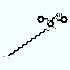 CCCCCCCCCCCCCCCCCCOc1cn(Cc2ccccc2)c(CN(C)Cc2ccccc2)cc1=O